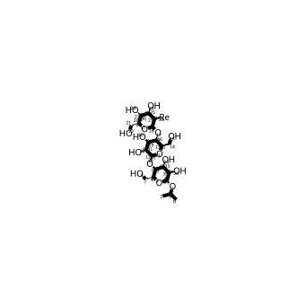 CC(C)O[C@@H]1O[C@H](CO)[C@@H](O[C@@H]2O[C@H](CO)[C@@H](OC3O[C@H](CO)[C@H](O)[C@H](O)[C@H]3[Re])[C@H](O)[C@H]2O)[C@H](O)[C@H]1O